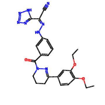 CCOc1ccc(C2=NN(C(=O)c3cccc(NN=C(C#N)c4nnn[nH]4)c3)CCC2)cc1OCC